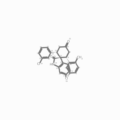 Cc1ccc(F)cc1[C@H]1CC(=O)C[C@@H](c2cccc(Cl)c2)[C@]12C(=O)Nc1cc(Cl)ccc12